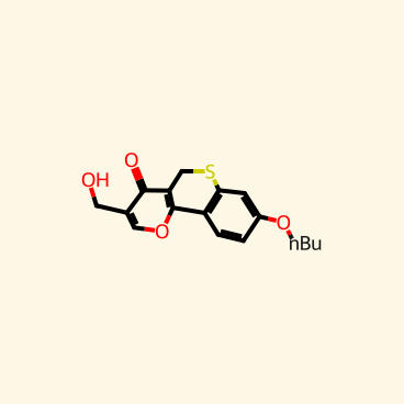 CCCCOc1ccc2c(c1)SCc1c-2occ(CO)c1=O